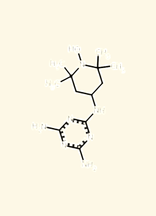 CC1(C)CC(Nc2nc(N)nc(N)n2)CC(C)(C)N1O